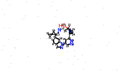 CN=C[C@@]1(c2ccc3cnn(-c4cnnc(N5CC6(C(C)(C)O)CC5C6)c4)c3c2)CC12CC2